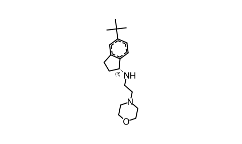 CC(C)(C)c1ccc2c(c1)CC[C@H]2NCCN1CCOCC1